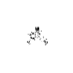 COC(C)(C)CCn1nc(N)c2ncc(C3CC3)nc21